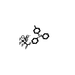 Cc1ccc([S+](c2ccccc2)c2ccccc2)cc1.O=S(=O)([O-])C(F)(F)C(F)(F)C(F)F